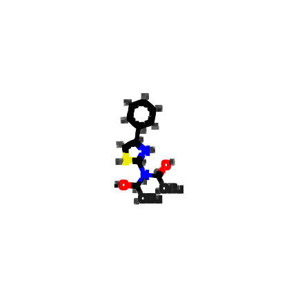 CC(C)COC(=O)N(C(=O)OCC(C)C)c1nc(-c2ccccc2)cs1